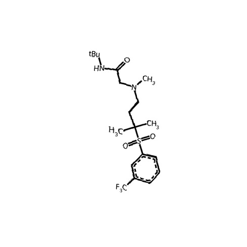 CN(CCC(C)(C)S(=O)(=O)c1cccc(C(F)(F)F)c1)CC(=O)NC(C)(C)C